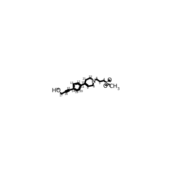 CS(=O)(=O)CCCN1CC=C(c2ccc(C#CCO)cc2)CC1